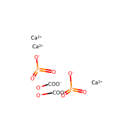 O=C([O-])[O-].O=C([O-])[O-].O=P(=O)[O-].O=P(=O)[O-].[Ca+2].[Ca+2].[Ca+2]